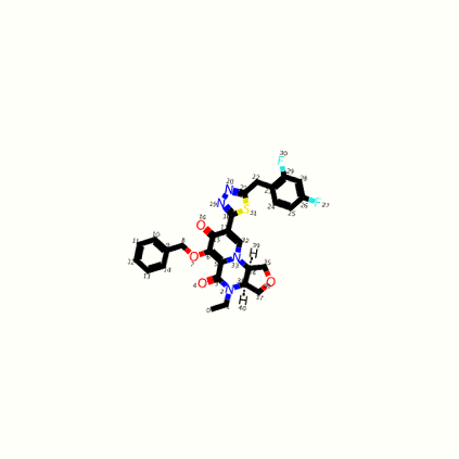 CCN1C(=O)c2c(OCc3ccccc3)c(=O)c(-c3nnc(Cc4ccc(F)cc4F)s3)cn2[C@H]2COC[C@H]21